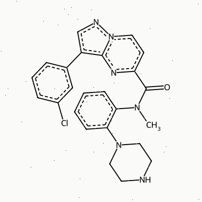 CN(C(=O)c1ccn2ncc(-c3cccc(Cl)c3)c2n1)c1ccccc1N1CCNCC1